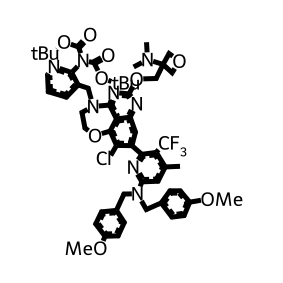 COc1ccc(CN(Cc2ccc(OC)cc2)c2cc(C)c(C(F)(F)F)c(-c3cc4nc(OCC5(N(C)C)COC5)nc5c4c(c3Cl)OCCN5Cc3cccnc3N(C(=O)OC(C)(C)C)C(=O)OC(C)(C)C)n2)cc1